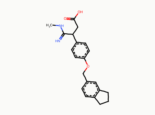 CNC(=N)C(CC(=O)O)c1ccc(OCc2ccc3c(c2)CCC3)cc1